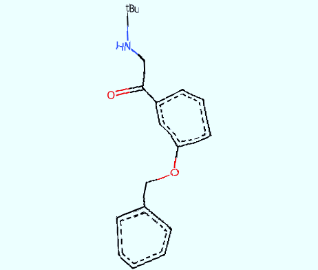 CC(C)(C)NCC(=O)c1cccc(OCc2ccccc2)c1